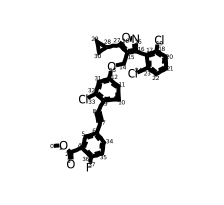 COC(=O)c1cc(C#Cc2ccc(OCc3c(-c4c(Cl)cccc4Cl)noc3C3CC3)cc2Cl)ccc1F